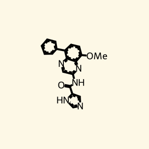 COc1ccc(-c2ccccc2)c2ncc(NC(=O)c3cnc[nH]3)nc12